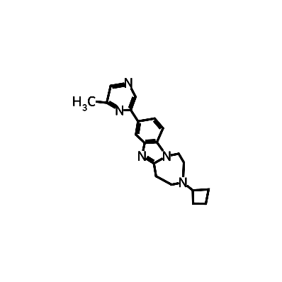 Cc1cncc(-c2ccc3c(c2)nc2n3CCN(C3CCC3)CC2)n1